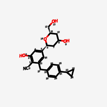 N#Cc1c(O)cc([C@H]2CC(O)C[C@@H](CO)O2)cc1Cc1ccc(C2CC2)cc1